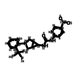 O=C(Nc1ccc([N+](=O)[O-])cn1)NC1C2CN(c3ncccc3C(F)(F)F)CC21